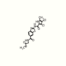 COC(=O)CNC(=O)c1ccc2nc(NC(=O)c3[nH]c(C)c(Cl)c3Cl)sc2c1